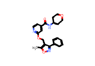 Cc1onc(-c2ccccc2)c1COc1cc(C(=O)NC2CCOCC2)ccn1